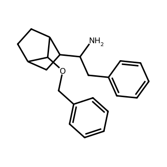 NC(Cc1ccccc1)C1CC2CCC1C2OCc1ccccc1